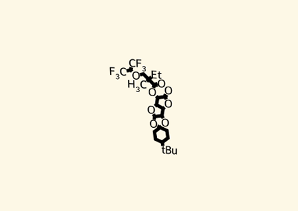 CCC(C)(COC(C(F)(F)F)C(F)(F)F)C(=O)OC1C(=O)OC2C3OC4(CCC(C(C)(C)C)CC4)OC3OC12